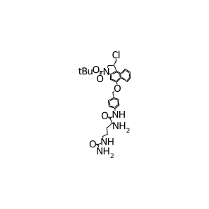 CC(C)(C)OC(=O)N1C[C@@H](CCl)c2c1cc(OCc1ccc(NC(=O)[C@@H](N)CCCNC(N)=O)cc1)c1ccccc21